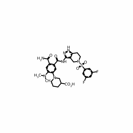 CN(C)c1cc(C(N)=O)c(C(=O)Nc2n[nH]c3c2CN(S(=O)(=O)c2cc(F)cc(F)c2)CC3)cc1N1CCCC(C(=O)O)C1